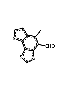 Cc1c(C=O)c2ccsc2c2sccc12